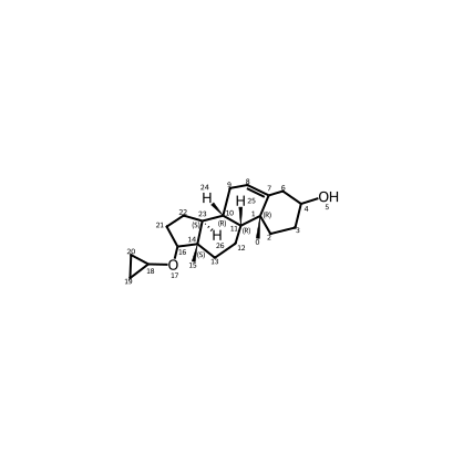 C[C@]12CCC(O)CC1=CC[C@@H]1[C@H]2CC[C@]2(C)C(OC3CC3)CC[C@@H]12